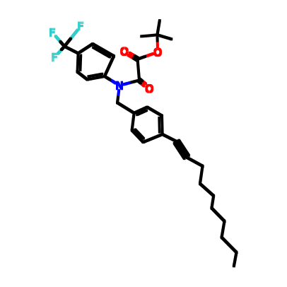 CCCCCCCCC#Cc1ccc(CN(C(=O)C(=O)OC(C)(C)C)c2ccc(C(F)(F)F)cc2)cc1